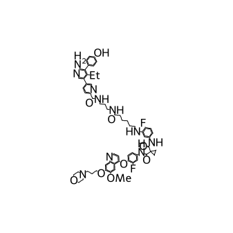 CCc1c(-c2ccc(C(=O)NCCCNC(=O)CCCCCNc3cc(NC(=O)C4(C(=O)Nc5ccc(Oc6ccnc7cc(OCCCN8CCOCC8)c(OC)cc67)c(F)c5)CC4)ccc3F)nc2)cnc(N)c1-c1ccc(O)cc1